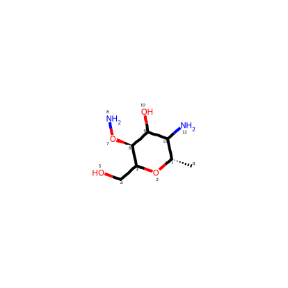 C[C@@H]1OC(CO)[C@@H](ON)C(O)C1N